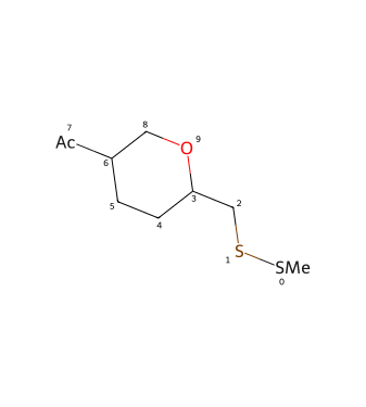 CSSCC1CCC(C(C)=O)CO1